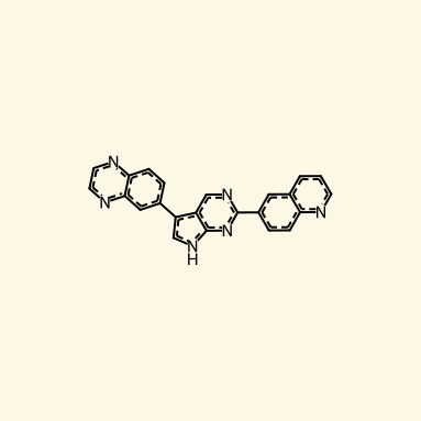 c1cnc2ccc(-c3ncc4c(-c5ccc6nccnc6c5)c[nH]c4n3)cc2c1